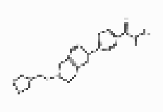 CCNC(=O)c1ccc(-c2ccc3c(c2)CCN(CCN2CCCC2)C3)cc1